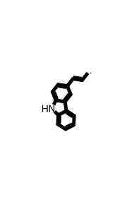 [CH2]C=Cc1ccc2[nH]c3ccccc3c2c1